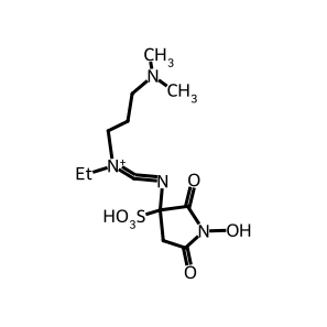 CC[N+](=C=NC1(S(=O)(=O)O)CC(=O)N(O)C1=O)CCCN(C)C